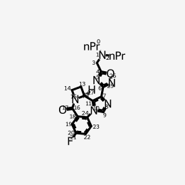 CCCN(CCC)Cc1nc(-c2ncn3c2[C@@H]2CCN2C(=O)c2cc(F)ccc2-3)no1